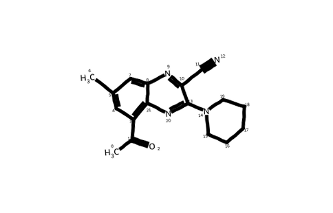 CC(=O)c1cc(C)cc2nc(C#N)c(N3CCCCC3)nc12